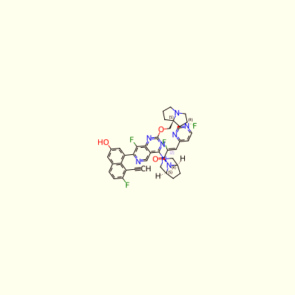 C#Cc1c(F)ccc2cc(O)cc(-c3ncc4c(N5C[C@H]6CC[C@@H](C5)N6C(=O)/C(F)=C/c5ccncn5)nc(OC[C@@]56CCCN5C[C@H](F)C6)nc4c3F)c12